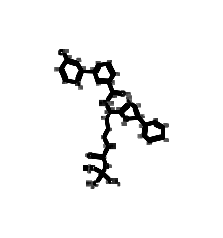 CC(C)(C)OC(=O)NCCC[C@H](NC(=O)c1cccc(-c2cc(Cl)ccn2)c1)c1ncc(-c2ccccc2)o1